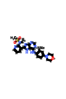 CNc1cc(N2CCOCC2)ccc1Nc1ncnc2nc(-c3cccnc3N(C)S(C)(=O)=O)[nH]c12